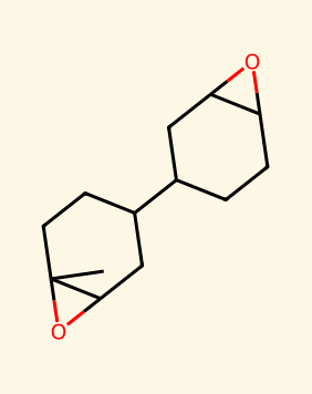 CC12CCC(C3CCC4OC4C3)CC1O2